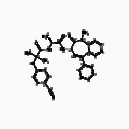 C[C@H](NC(=O)C(C)(C)Oc1ccc(C#N)cc1)C(=O)N[C@H]1N=C(c2ccccc2)c2ccccc2N(C)C1=O